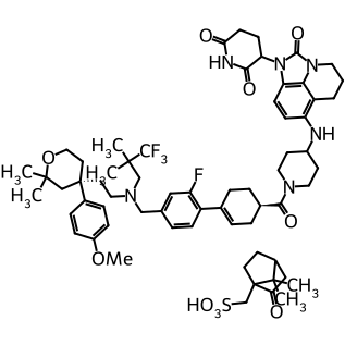 CC1(C)C2CCC1(CS(=O)(=O)O)C(=O)C2.COc1ccc([C@]2(CCN(Cc3ccc(C4=CC[C@H](C(=O)N5CCC(Nc6ccc7c8c6CCCn8c(=O)n7C6CCC(=O)NC6=O)CC5)CC4)c(F)c3)CC(C)(C)C(F)(F)F)CCOC(C)(C)C2)cc1